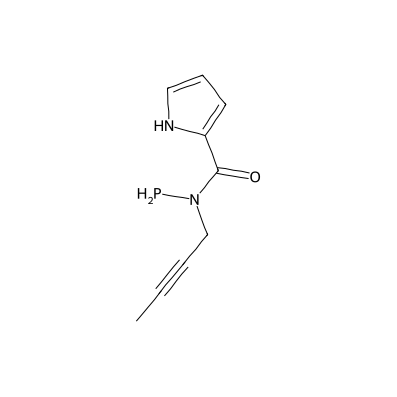 CC#CCN(P)C(=O)c1ccc[nH]1